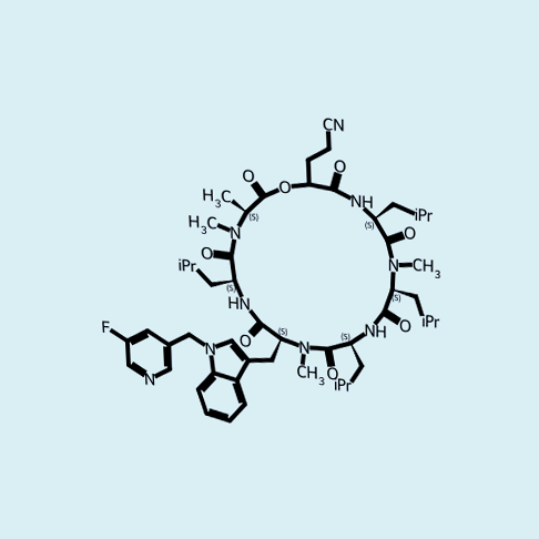 CC(C)C[C@@H]1NC(=O)[C@H](Cc2cn(Cc3cncc(F)c3)c3ccccc23)N(C)C(=O)[C@H](CC(C)C)NC(=O)[C@H](CC(C)C)N(C)C(=O)[C@H](CC(C)C)NC(=O)C(CCC#N)OC(=O)[C@H](C)N(C)C1=O